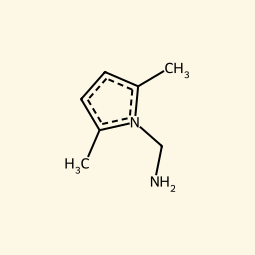 Cc1ccc(C)n1CN